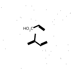 C=CC(=C)C.C=CC(=O)O